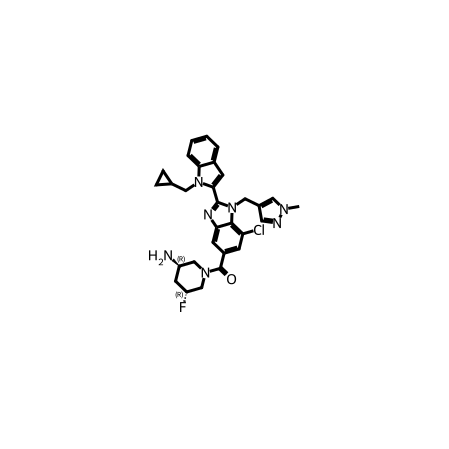 Cn1cc(Cn2c(-c3cc4ccccc4n3CC3CC3)nc3cc(C(=O)N4C[C@H](N)C[C@@H](F)C4)cc(Cl)c32)cn1